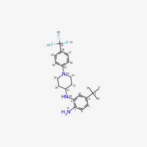 CC(C)(C)c1ccc(N)c(NC2CCN(c3[c]cc(C(F)(F)F)cc3)CC2)c1